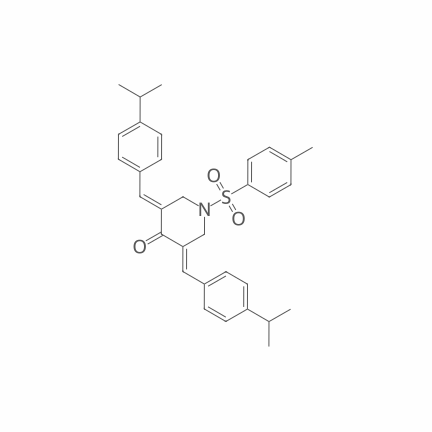 Cc1ccc(S(=O)(=O)N2CC(=Cc3ccc(C(C)C)cc3)C(=O)C(=Cc3ccc(C(C)C)cc3)C2)cc1